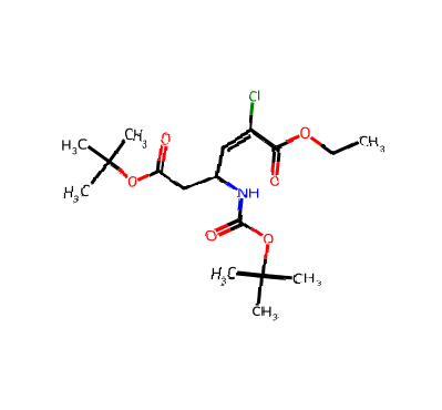 CCOC(=O)/C(Cl)=C\C(CC(=O)OC(C)(C)C)NC(=O)OC(C)(C)C